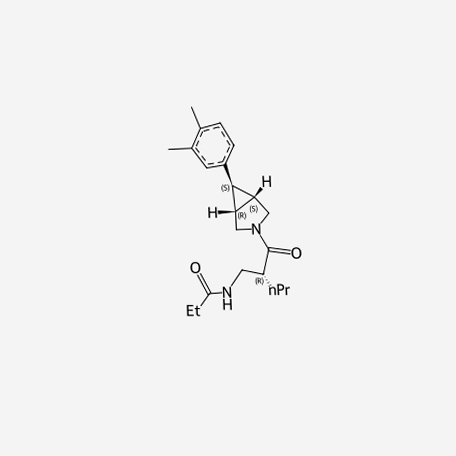 CCC[C@H](CNC(=O)CC)C(=O)N1C[C@@H]2[C@H](C1)[C@H]2c1ccc(C)c(C)c1